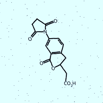 O=C(O)CC1Cc2ccc(N3C(=O)CCC3=O)cc2C(=O)O1